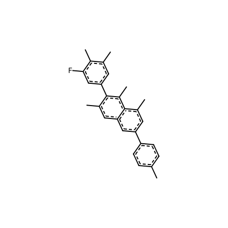 Cc1ccc(-c2cc(C)c3c(C)c(-c4cc(C)c(C)c(F)c4)c(C)cc3c2)cc1